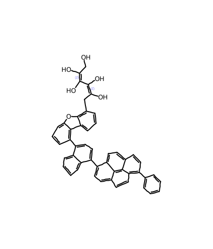 OC/C(O)=C(O)\C(O)=C(\O)Cc1cccc2c1oc1cccc(-c3ccc(-c4ccc5ccc6c(-c7ccccc7)ccc7ccc4c5c76)c4ccccc34)c12